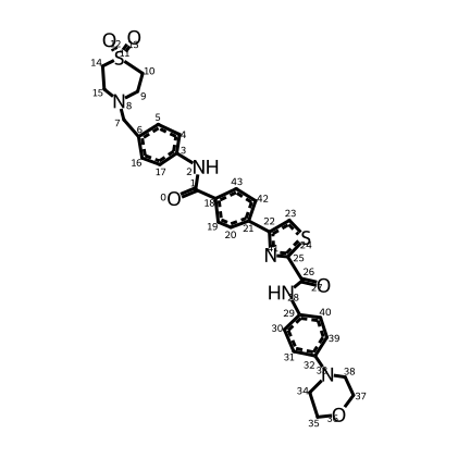 O=C(Nc1ccc(CN2CCS(=O)(=O)CC2)cc1)c1ccc(-c2csc(C(=O)Nc3ccc(N4CCOCC4)cc3)n2)cc1